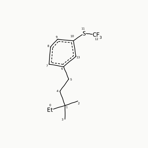 CCC(C)(C)CCc1cccc(SC(F)(F)F)c1